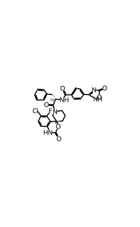 O=C1Nc2ccc(Cl)c(F)c2[C@@]2(CCCN(C(=O)[C@H](Cc3ccccc3)NC(=O)c3ccc(-c4nc(=O)o[nH]4)cc3)C2)O1